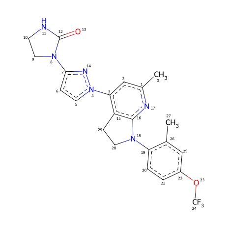 Cc1cc(-n2ccc(N3CCNC3=O)n2)c2c(n1)N(c1ccc(OC(F)(F)F)cc1C)CC2